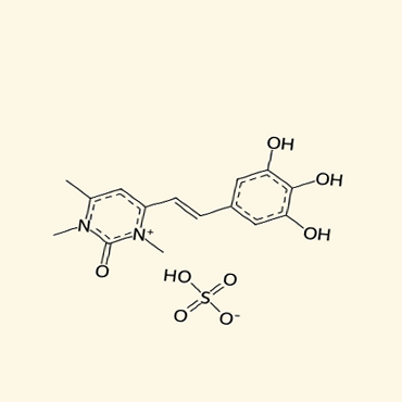 Cc1cc(C=Cc2cc(O)c(O)c(O)c2)[n+](C)c(=O)n1C.O=S(=O)([O-])O